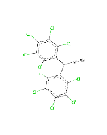 CCCC(c1c(Cl)c(Cl)c(Cl)c(Cl)c1Cl)c1c(Cl)c(Cl)c(Cl)c(Cl)c1Cl.[Sb]